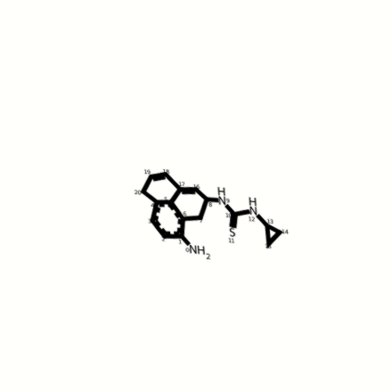 Nc1ccc2c3c1CC(NC(=S)NC1CC1)C=C3C=CC2